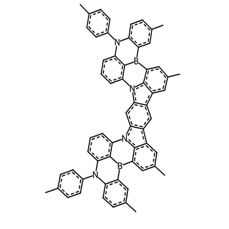 Cc1ccc(N2c3ccc(C)cc3B3c4c2cccc4-n2c4cc5c(cc4c4cc(C)cc3c42)c2cc(C)cc3c2n5-c2cccc4c2B3c2cc(C)ccc2N4c2ccc(C)cc2)cc1